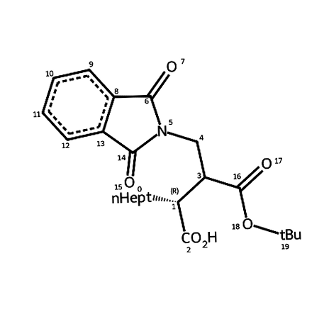 CCCCCCC[C@@H](C(=O)O)C(CN1C(=O)c2ccccc2C1=O)C(=O)OC(C)(C)C